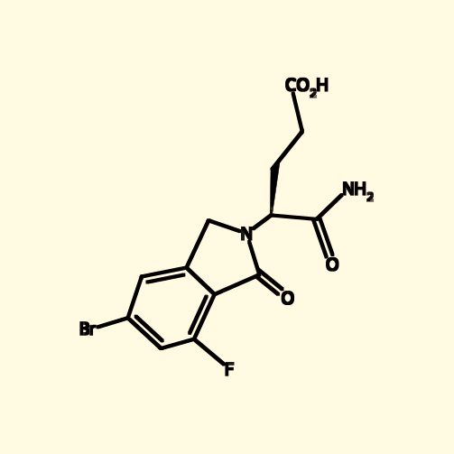 NC(=O)[C@H](CCC(=O)O)N1Cc2cc(Br)cc(F)c2C1=O